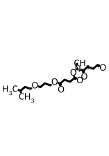 CC(C)CCOCCCOC(=O)CCC(=O)ON(C)C(=O)CCC=O